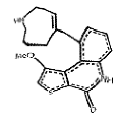 COc1csc2c(=O)[nH]c3cccc(C4=CCNCC4)c3c12